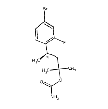 C[C@H](CC(C)(C)OC(N)=O)c1ccc(Br)cc1F